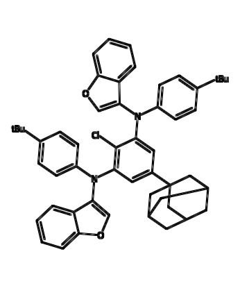 CC(C)(C)c1ccc(N(c2cc(C34CC5CC(CC(C5)C3)C4)cc(N(c3ccc(C(C)(C)C)cc3)c3coc4ccccc34)c2Cl)c2coc3ccccc23)cc1